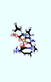 CN[C@H](CC(C)C)C(=O)N[C@@H](CC(C)C)C(=O)N(C)[C@H](CC(C)C)C(=O)N[C@@H](CC(C)C)C(=O)O